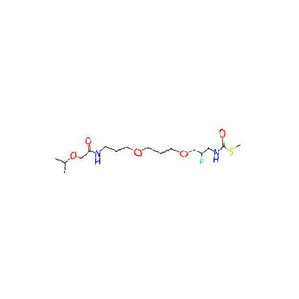 CSC(=O)NCC(F)COCCCOCCCNC(=O)COC(C)C